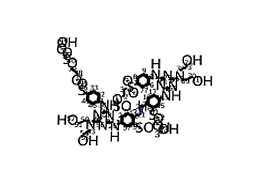 O=S(=O)(O)OCCS(=O)(=O)c1ccc(Nc2nc(Nc3ccc(/C=C/c4ccc(Nc5nc(Nc6ccc(SOOCCOSOOO)cc6)nc(N(CCO)CCO)n5)cc4S(=O)(=O)O)c(SOOO)c3)nc(N(CCO)CCO)n2)cc1